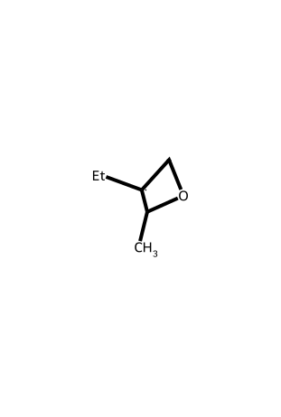 CC[C]1COC1C